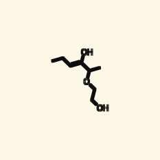 CCC=C(O)C(C)OCCO